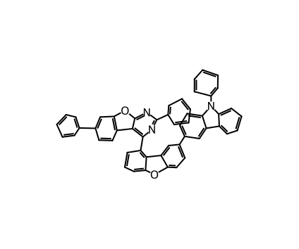 c1ccc(-c2ccc3c(c2)oc2nc(-c4ccccc4)nc(-c4cccc5oc6ccc(-c7ccc8c(c7)c7ccccc7n8-c7ccccc7)cc6c45)c23)cc1